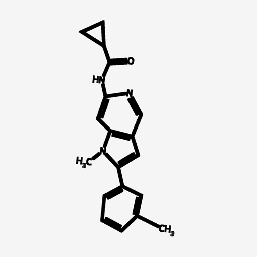 Cc1cccc(-c2cc3cnc(NC(=O)C4CC4)cc3n2C)c1